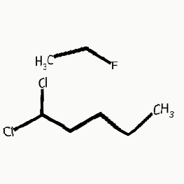 CCCCC(Cl)Cl.CCF